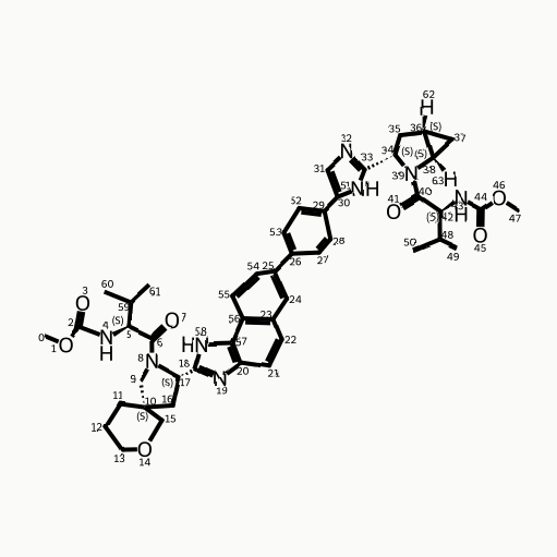 COC(=O)N[C@H](C(=O)N1C[C@]2(CCCOC2)C[C@H]1c1nc2ccc3cc(-c4ccc(-c5cnc([C@@H]6C[C@@H]7C[C@@H]7N6C(=O)[C@@H](NC(=O)OC)C(C)C)[nH]5)cc4)ccc3c2[nH]1)C(C)C